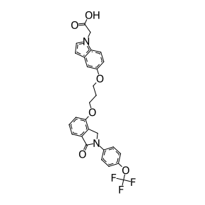 O=C(O)Cn1ccc2cc(OCCCOc3cccc4c3CN(c3ccc(OC(F)(F)F)cc3)C4=O)ccc21